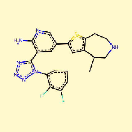 CC1CNCCc2sc(-c3cnc(N)c(-c4nnnn4-c4cccc(F)c4F)c3)cc21